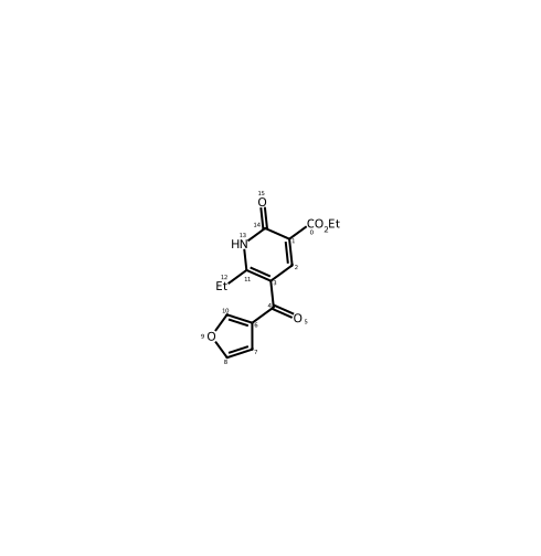 CCOC(=O)c1cc(C(=O)c2ccoc2)c(CC)[nH]c1=O